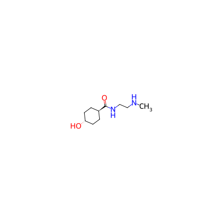 CNCCNC(=O)[C@H]1CC[C@H](O)CC1